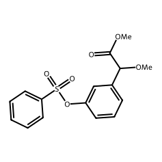 COC(=O)C(OC)c1cccc(OS(=O)(=O)c2ccccc2)c1